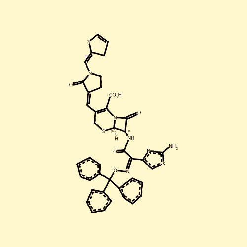 Nc1nc(/C(=N/OC(c2ccccc2)(c2ccccc2)c2ccccc2)C(=O)N[C@@H]2C(=O)N3C(C(=O)O)=C(C=C4CCN(/C=C5\CC=CS5)C4=O)CS[C@H]23)cs1